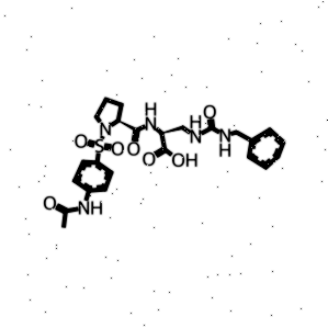 CC(=O)Nc1ccc(S(=O)(=O)N2CCC[C@H]2C(=O)N[C@@H](CNC(=O)NCc2ccccc2)C(=O)O)cc1